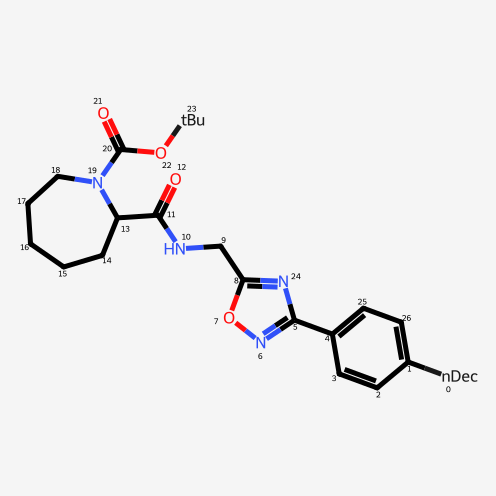 CCCCCCCCCCc1ccc(-c2noc(CNC(=O)C3CCCCCN3C(=O)OC(C)(C)C)n2)cc1